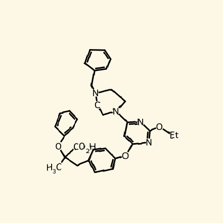 CCOc1nc(Oc2ccc(CC(C)(Oc3ccccc3)C(=O)O)cc2)cc(N2CCN(Cc3ccccc3)CC2)n1